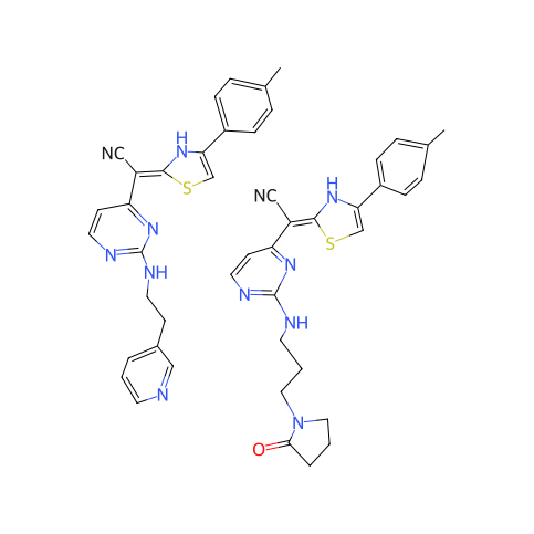 Cc1ccc(C2=CSC(=C(C#N)c3ccnc(NCCCN4CCCC4=O)n3)N2)cc1.Cc1ccc(C2=CSC(=C(C#N)c3ccnc(NCCc4cccnc4)n3)N2)cc1